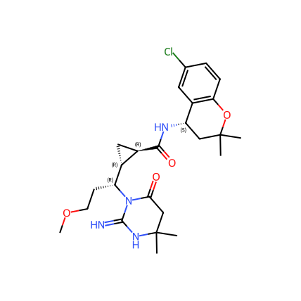 COCC[C@H]([C@@H]1C[C@H]1C(=O)N[C@H]1CC(C)(C)Oc2ccc(Cl)cc21)N1C(=N)NC(C)(C)CC1=O